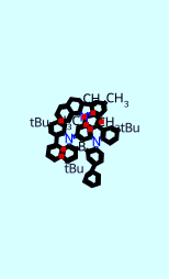 Cc1cc(C)c2c(c1)C1(C)CCc3ccccc3C1(C)N2c1cc2c3c(c1)N(c1ccc(C(C)(C)C)cc1-c1ccccc1)c1ccc(C(C)(C)C)cc1B3c1cc(-c3ccccc3)ccc1N2c1ccc(C(C)(C)C)cc1-c1ccccc1